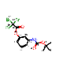 CC(C)(C)OC(=O)Nc1cccc(OC(=O)C(Br)(Br)Br)c1